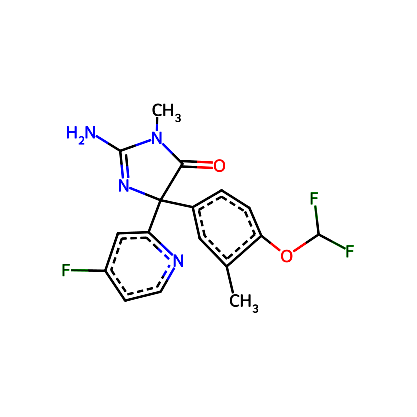 Cc1cc(C2(c3cc(F)ccn3)N=C(N)N(C)C2=O)ccc1OC(F)F